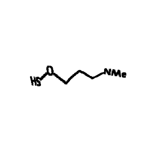 CNCCCOS